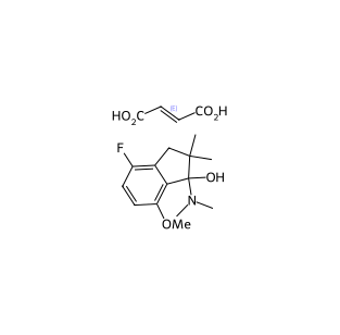 COc1ccc(F)c2c1C(O)(N(C)C)C(C)(C)C2.O=C(O)/C=C/C(=O)O